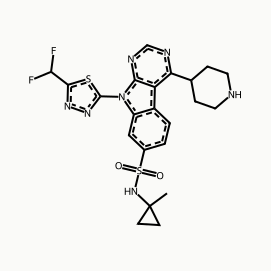 CC1(NS(=O)(=O)c2ccc3c4c(C5CCNCC5)ncnc4n(-c4nnc(C(F)F)s4)c3c2)CC1